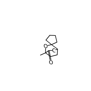 CC12CCC(CC1=O)C1(CCCC1)O2